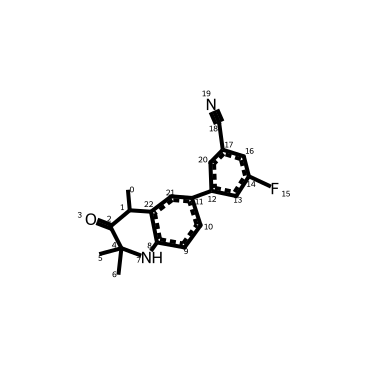 CC1C(=O)C(C)(C)Nc2ccc(-c3cc(F)cc(C#N)c3)cc21